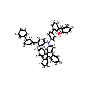 c1ccc(-c2cccc(-c3ccc(N(c4ccc(-c5cccc6c5oc5ccccc56)cc4)c4ccc5c(c4)C(c4ccccc4)(c4ccccc4)c4ccccc4-5)cc3)c2)cc1